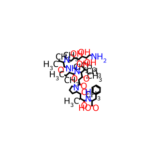 COC(CC(=O)N1CCCC1C(OC)C(C)C(=O)NC(Cc1ccccc1)C(=O)O)C(C(C)C)N(C)C(=O)C(NC(=O)C(C(C)C)N(C)CC(O)C(O)C(O)C(O)CN)C(C)C